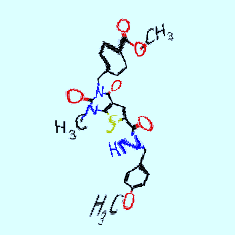 COC(=O)c1ccc(Cn2c(=O)c3cc(C(=O)NCc4ccc(OC)cc4)sc3n(C)c2=O)cc1